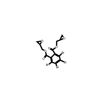 O=C(OCC1CO1)c1c(Br)c(Br)c(Br)c(Br)c1C(=O)OCC1CO1